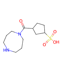 O=C(C1CCC(S(=O)(=O)O)C1)N1CCCNCCC1